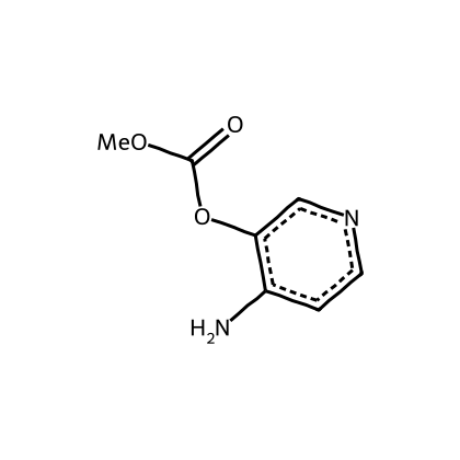 COC(=O)Oc1cnccc1N